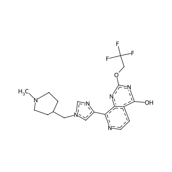 CN1CCC(Cn2cnc(-c3nccc4c(O)nc(OCC(F)(F)F)nc34)c2)CC1